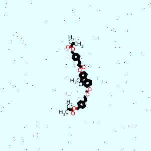 C=C(C)C(=O)OCc1ccc(C=COCOc2ccc3c(c2)C(C)(C)c2cc(OC(=O)C=Cc4ccc(COC(=O)C(=C)C)cc4)ccc2-3)cc1